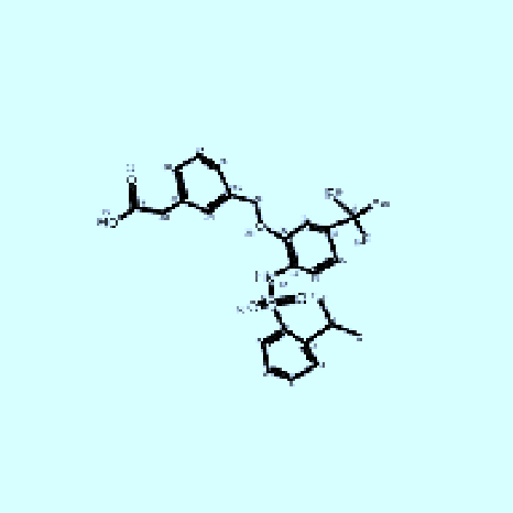 CC(C)c1ccccc1S(=O)(=O)Nc1ccc(C(F)(F)F)cc1OCc1cccc(CC(=O)O)c1